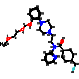 COCCOCOc1ccccc1N1CCN(CCN(c2ccccn2)C(=O)[C@H]2CC[C@H](CF)CC2)CC1